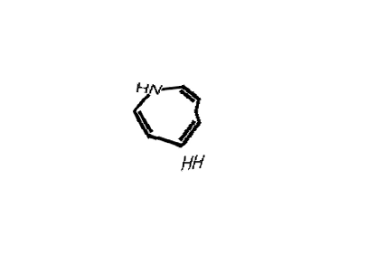 C1=CC=CNC=C1.[HH]